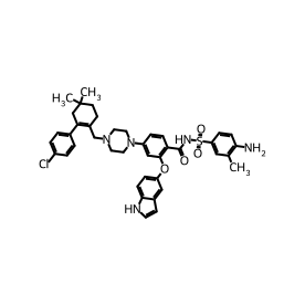 Cc1cc(S(=O)(=O)NC(=O)c2ccc(N3CCN(CC4=C(c5ccc(Cl)cc5)CC(C)(C)CC4)CC3)cc2Oc2ccc3[nH]ccc3c2)ccc1N